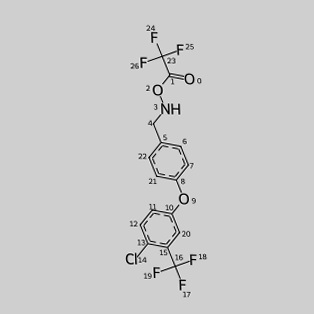 O=C(ONCc1ccc(Oc2ccc(Cl)c(C(F)(F)F)c2)cc1)C(F)(F)F